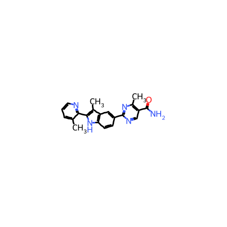 Cc1cccnc1-c1[nH]c2ccc(-c3ncc(C(N)=O)c(C)n3)cc2c1C